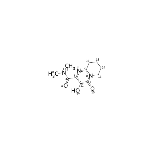 CN(C)C(=O)c1nc2n(c(=O)c1O)CCCC2